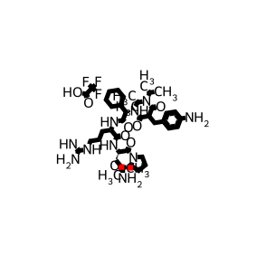 CC(C)C[C@H](NC(=O)C(CCCNC(=N)N)NC(=O)[C@@H](NC(=O)C(Cc1ccc(N)cc1)C(=O)N(C(C)C)C(C)C)C1CCCCC1)C(=O)N1CCC[C@H]1C(N)=O.O=C(O)C(F)(F)F